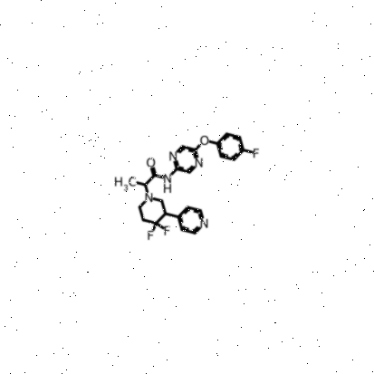 CC(C(=O)Nc1cnc(Oc2ccc(F)cc2)cn1)N1CCC(F)(F)C(c2ccncc2)C1